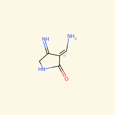 N=C1CNC(=O)/C1=C/N